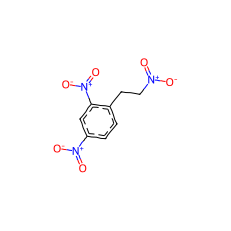 O=[N+]([O-])CCc1ccc([N+](=O)[O-])cc1[N+](=O)[O-]